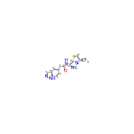 O=C(Cc1ccc2[nH]ncc2c1)Nc1ncn2c(C(F)(F)F)csc12